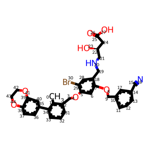 Cc1c(COc2cc(OCc3cccc(C#N)c3)c(CNC[C@@H](O)CC(=O)O)cc2Br)cccc1-c1ccc2c(c1)OCCO2